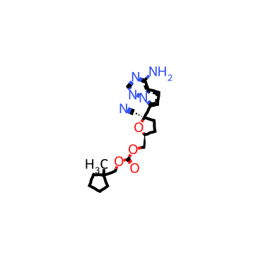 CC1(COC(=O)OC[C@@H]2CC[C@](C#N)(c3ccc4c(N)ncnn34)O2)CCCC1